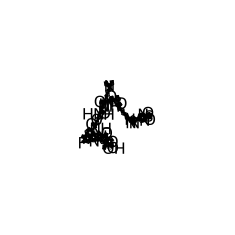 CCN(CC)CCCC[C@H](NC(=O)[C@@H](NC(=O)CCCCCn1cc(-c2cnc(S(C)(=O)=O)nc2)nn1)C(C)C)C(=O)NCC(=O)NCOCC(=O)N[C@H]1CCc2c(C)c(F)cc3nc4c(c1c23)Cn1c-4cc2c(c1=O)COC(=O)[C@]2(O)CC